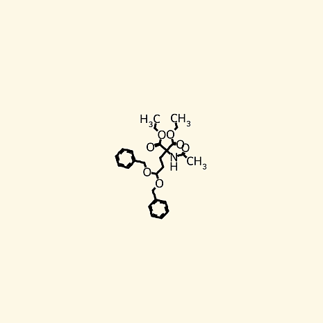 CCOC(=O)C(CCC(OCc1ccccc1)OCc1ccccc1)(NC(C)=O)C(=O)OCC